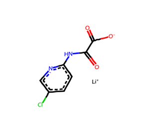 O=C([O-])C(=O)Nc1ccc(Cl)cn1.[Li+]